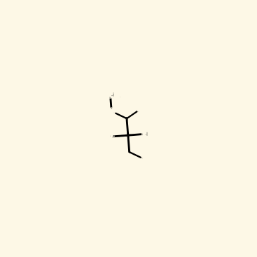 CCC(N)(N)C(C)O[SiH3]